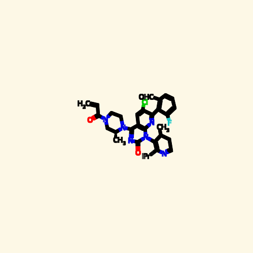 C=CC(=O)N1CCN(c2nc(=O)n(C3=C(C(C)C)N=CCC3C)c3nc(-c4c(F)cccc4C=O)c(Cl)cc23)[C@@H](C)C1